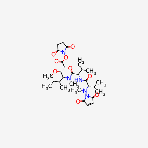 CC[C@H](C)[C@@H]([C@@H](CC(=O)ON1C(=O)CCC1=O)OC)N(C)C(=O)[C@@H](NC(=O)[C@H](C(C)C)N(C)N1C(=O)C=CC1=O)C(C)C